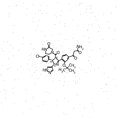 CC(C)(C)Oc1cc(C(=O)CC(N)=O)ccc1C1=N[C@@H](c2cn[nH]c2)[C@@H](c2ccc(Cl)cc2)N1C(=O)N1CCNC(=O)C1